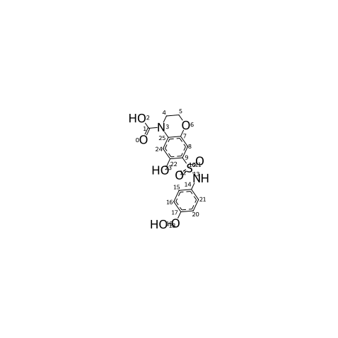 O=C(O)N1CCOc2cc(S(=O)(=O)Nc3ccc(OO)cc3)c(O)cc21